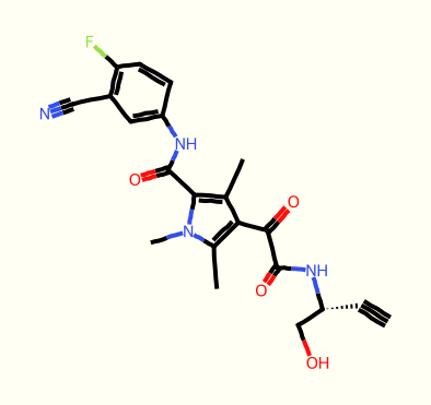 C#C[C@H](CO)NC(=O)C(=O)c1c(C)c(C(=O)Nc2ccc(F)c(C#N)c2)n(C)c1C